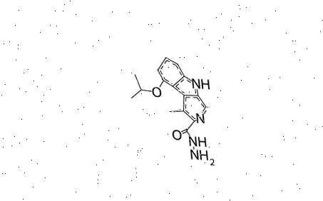 Cc1c(C(=O)NN)ncc2[nH]c3cccc(OC(C)C)c3c12